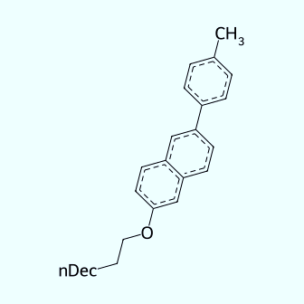 CCCCCCCCCCCCOc1ccc2cc(-c3ccc(C)cc3)ccc2c1